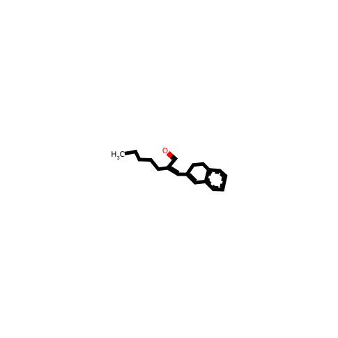 CCCCCC(C=O)=CC1=Cc2ccccc2CC1